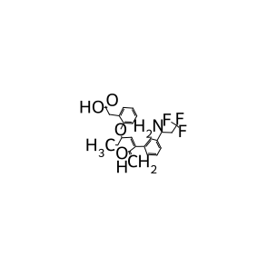 C=C(O)/C(=C\C(CC)Oc1ccccc1CC(=O)O)c1cccc(C(N)CC(F)(F)F)c1